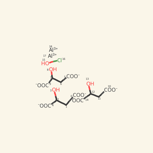 O=C([O-])CC(O)C(=O)[O-].O=C([O-])CC(O)C(=O)[O-].O=C([O-])CC(O)C(=O)[O-].OCl.[Al+3].[Al+3]